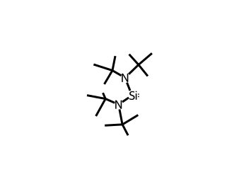 CC(C)(C)N([Si]N(C(C)(C)C)C(C)(C)C)C(C)(C)C